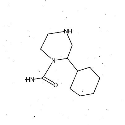 [NH]C(=O)N1CCNCC1C1CCCCC1